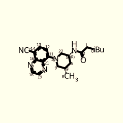 CCC(C)CC(=O)N[C@@H]1C[C@H](C)CN(c2ccc(C#N)c3nccnc23)C1